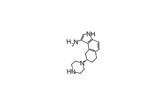 Nc1c[nH]c2ccc3c(c12)C[C@H](N1CCNCC1)CC3